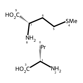 CC(C)[C@H](N)C(=O)O.CSCC[C@H](N)C(=O)O